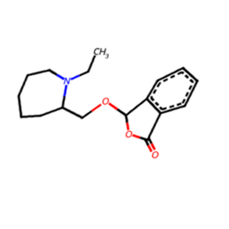 CCN1CCCCCC1COC1OC(=O)c2ccccc21